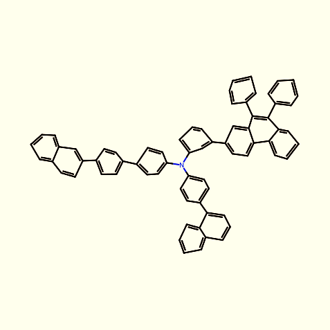 c1ccc(-c2c(-c3ccccc3)c3cc(-c4cccc(N(c5ccc(-c6ccc(-c7ccc8ccccc8c7)cc6)cc5)c5ccc(-c6cccc7ccccc67)cc5)c4)ccc3c3ccccc23)cc1